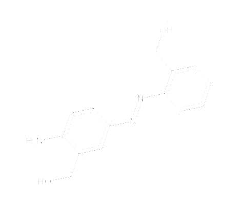 Nc1ccc(/N=N/c2ccccc2CO)cc1CO